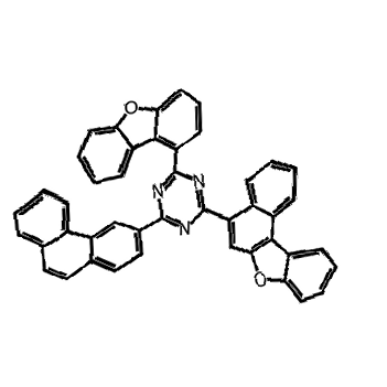 c1ccc2c(c1)ccc1ccc(-c3nc(-c4cc5oc6ccccc6c5c5ccccc45)nc(-c4cccc5oc6ccccc6c45)n3)cc12